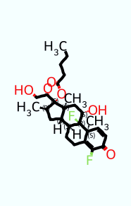 CCCCC(=O)O[C@@]1(C(=O)CO)[C@H](C)C[C@H]2[C@@H]3CCC4=C(F)C(=O)C=C[C@]4(C)[C@@]3(F)[C@@H](O)C[C@@]21C